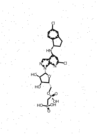 O=P(O)(O)CP(=O)(O)OC[C@H]1O[C@@H](n2ncc3c(N[C@@H]4CCc5cc(Cl)ccc54)cc(Cl)nc32)[C@H](O)[C@@H]1O